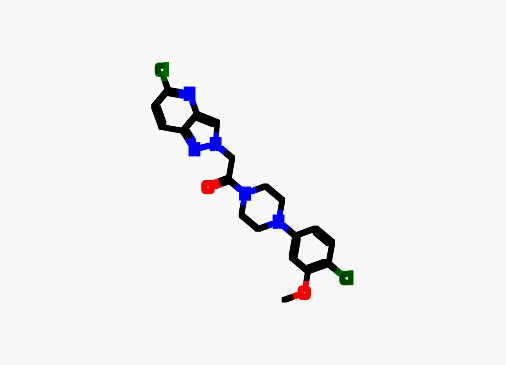 COc1cc(N2CCN(C(=O)Cn3cc4nc(Cl)ccc4n3)CC2)ccc1Cl